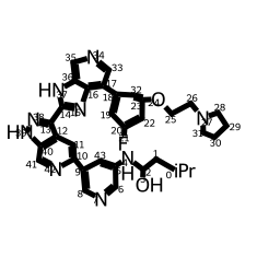 CC(C)CC(O)Nc1cncc(-c2cc3c(-c4nc5c(-c6cc(F)cc(OCCN7CCCC7)c6)cncc5[nH]4)n[nH]c3cn2)c1